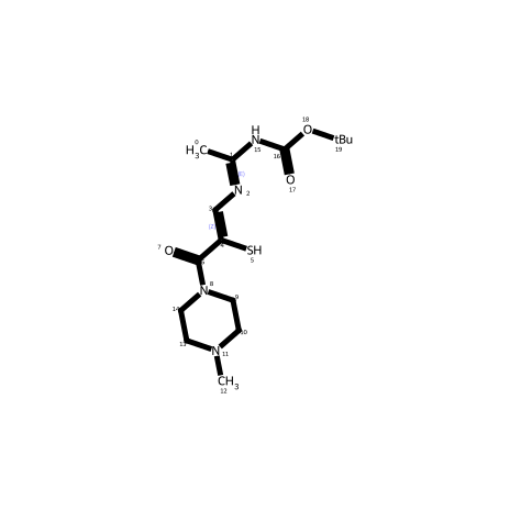 C/C(=N\C=C(/S)C(=O)N1CCN(C)CC1)NC(=O)OC(C)(C)C